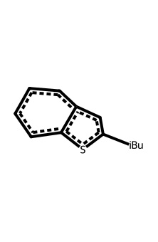 CCC(C)c1cc2ccccc2s1